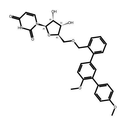 COc1ccc(-c2cc(-c3ccccc3COC[C@H]3O[C@@H](n4ccc(=O)[nH]c4=O)[C@H](O)[C@@H]3O)ccc2OC)cc1